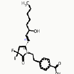 CCCCCC(O)/C=C/[C@H]1CC(F)(F)C(=O)N1CCc1ccc(C(=O)O)cc1